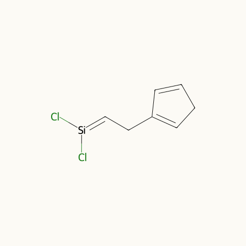 Cl[Si](Cl)=CCC1=CCC=C1